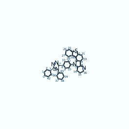 c1ccc(-c2nnc(-c3ccc(-n4c5cccnc5c5ccc6sc7ccccc7c6c54)cc3)n2-c2ccccc2)cc1